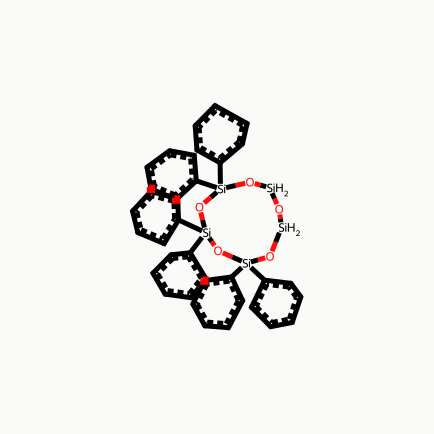 c1ccc([Si]2(c3ccccc3)O[SiH2]O[SiH2]O[Si](c3ccccc3)(c3ccccc3)O[Si](c3ccccc3)(c3ccccc3)O2)cc1